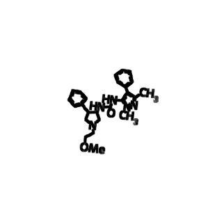 COCCN1CC(NC(=O)Nc2c(-c3ccccc3)c(C)nn2C)C(c2ccccc2)C1